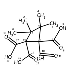 CC1(C)C(C)(C)C(C(=O)O)(C(=O)O)C1(C(=O)O)C(=O)O